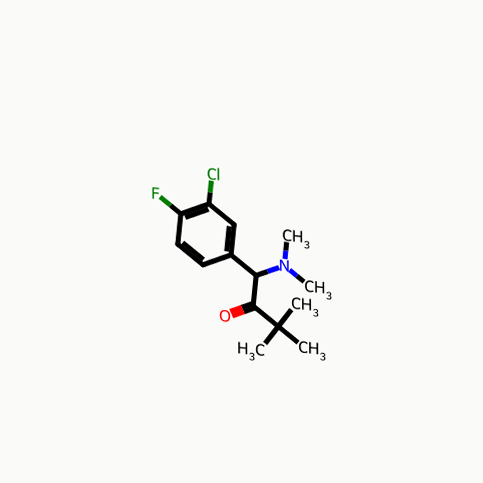 CN(C)C(C(=O)C(C)(C)C)c1ccc(F)c(Cl)c1